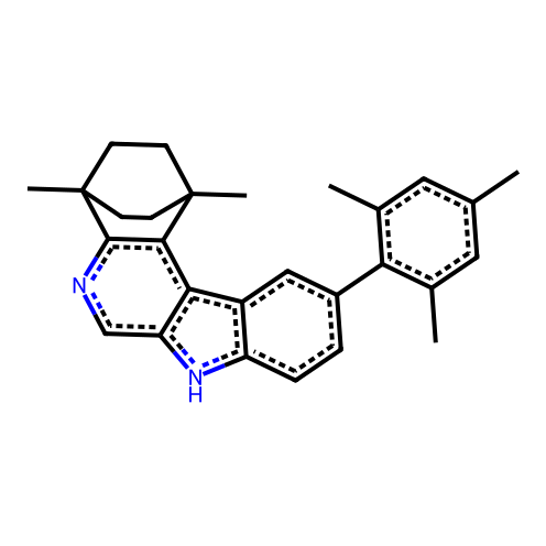 Cc1cc(C)c(-c2ccc3[nH]c4cnc5c(c4c3c2)C2(C)CCC5(C)CC2)c(C)c1